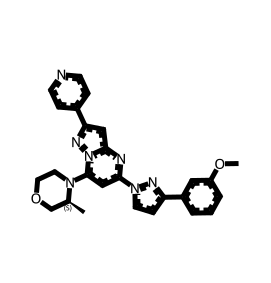 COc1cccc(-c2ccn(-c3cc(N4CCOC[C@@H]4C)n4nc(-c5ccncc5)cc4n3)n2)c1